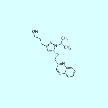 CC(C)n1nc(CCCO)cc1OCc1ccc2ccccc2n1